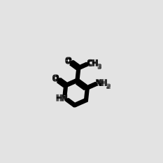 CC(=O)C1=C(N)CCNC1=O